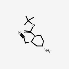 CC(C)(C)OC(=O)N1CC[C@H](N)C[C@H]1CC#N